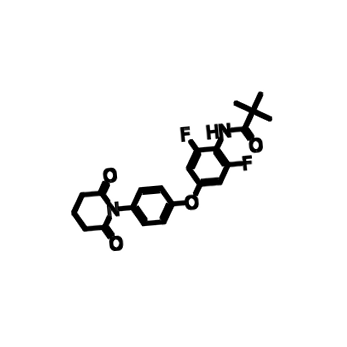 CC(C)(C)C(=O)Nc1c(F)cc(Oc2ccc(N3C(=O)CCCC3=O)cc2)cc1F